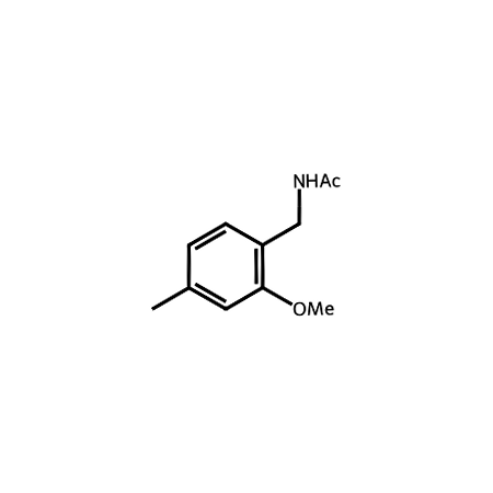 COc1cc(C)ccc1CNC(C)=O